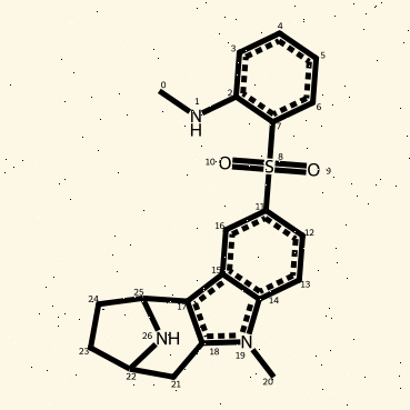 CNc1ccccc1S(=O)(=O)c1ccc2c(c1)c1c(n2C)CC2CCC1N2